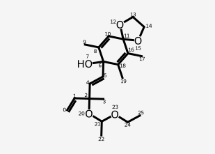 C=CC(C)(/C=C/C1(O)C(C)=CC2(OCCO2)C(C)=C1C)OC(C)OCC